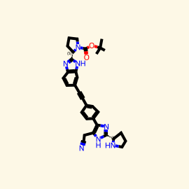 CC(C)(C)OC(=O)N1CCC[C@H]1c1nc2ccc(C#Cc3ccc(-c4nc([C@@H]5CCCN5)[nH]c4CC#N)cc3)cc2[nH]1